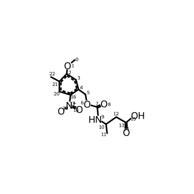 COc1cc(COC(=O)NC(C)CC(=O)O)c([N+](=O)[O-])cc1C